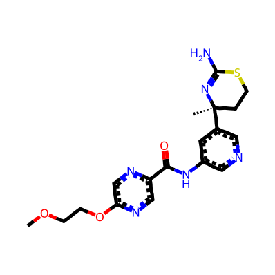 COCCOc1cnc(C(=O)Nc2cncc([C@]3(C)CCSC(N)=N3)c2)cn1